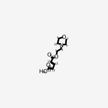 O=C(OCCN1CCOCC1)c1ccc(O)o1